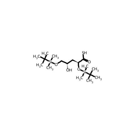 CC(C)(C)[Si](C)(C)OC[C@@H](O)C[C@H](O[Si](C)(C)C(C)(C)C)C(=O)S